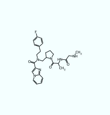 CNCC(=O)NC(C)C(=O)N1CCCC1CN(CCc1ccc(F)cc1)C(=O)c1cn2ccccc2n1